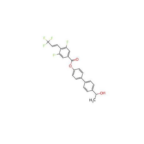 CC(O)c1ccc(-c2ccc(OC(=O)c3cc(F)c(/C=C/C(F)(F)F)c(F)c3)cc2)cc1